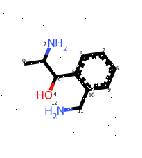 CC(N)C(O)c1ccccc1CN